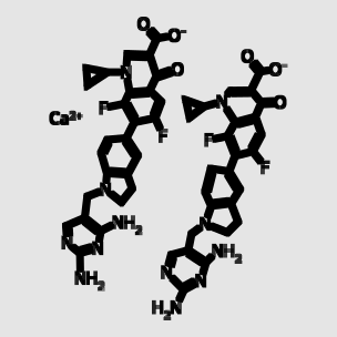 Nc1ncc(CN2CCc3cc(-c4c(F)cc5c(=O)c(C(=O)[O-])cn(C6CC6)c5c4F)ccc32)c(N)n1.Nc1ncc(CN2CCc3cc(-c4c(F)cc5c(=O)c(C(=O)[O-])cn(C6CC6)c5c4F)ccc32)c(N)n1.[Ca+2]